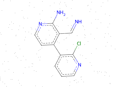 N=Cc1c(-c2cccnc2Cl)ccnc1N